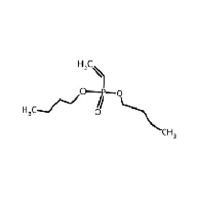 C=CP(=O)(OCCCC)OCCCC